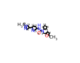 Cc1ccc(CN(C(=O)Nc2ccc(-c3cnn(C)c3)nc2)C2CCCC2)o1